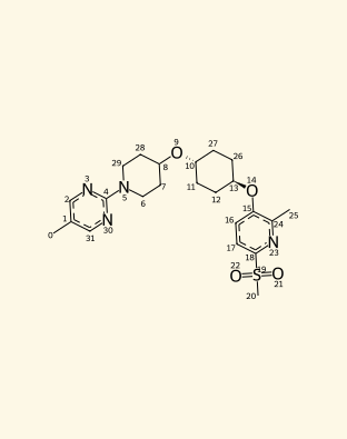 Cc1cnc(N2CCC(O[C@H]3CC[C@H](Oc4ccc(S(C)(=O)=O)nc4C)CC3)CC2)nc1